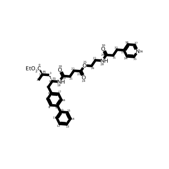 CCOC(=O)[C@H](C)C[C@@H](Cc1ccc(-c2ccccc2)cc1)NC(=O)CCC(=O)OCCNC(=O)CCc1ccncc1